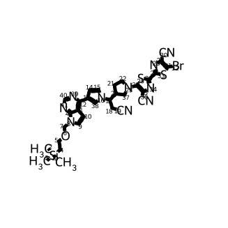 C[Si](C)(C)CCOCn1ccc2c(-c3ccn(C(CC#N)C4CCN(c5sc(-c6nc(C#N)c(Br)s6)nc5C#N)C4)c3)ncnc21